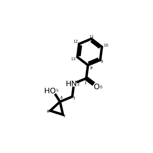 O=C(NCC1(O)CC1)c1ccccc1